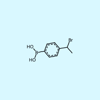 CC(Br)c1ccc(B(O)O)cc1